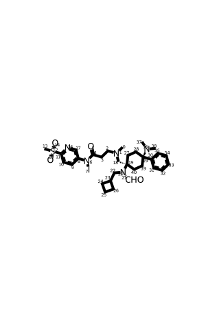 CN(CCC(=O)N(I)c1ccc(S(C)(=O)=O)nc1)C[C@]1(N(C=O)CC2CCC2)CC[C@@](c2ccccc2)(N(C)C)CC1